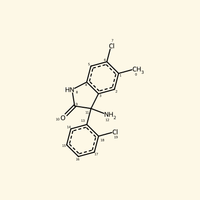 Cc1cc2c(cc1Cl)NC(=O)C2(N)c1ccccc1Cl